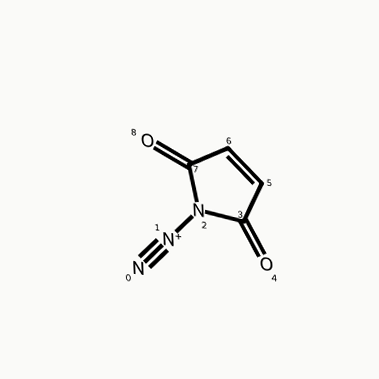 N#[N+]N1C(=O)C=CC1=O